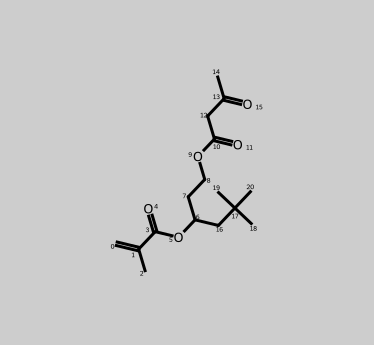 C=C(C)C(=O)OC(CCOC(=O)CC(C)=O)CC(C)(C)C